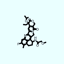 CCC1(OC(C)C)C(=O)OCc2c1cc1n(c2=O)Cc2c-1nc1cc(F)c(C)c3c1c2C(NC(=O)COC)CC3